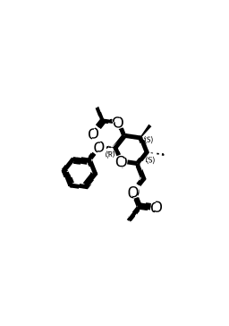 CC(=O)OCC1O[C@H](Oc2ccccc2)C(OC(C)=O)[C@@H](C)[C@@H]1C